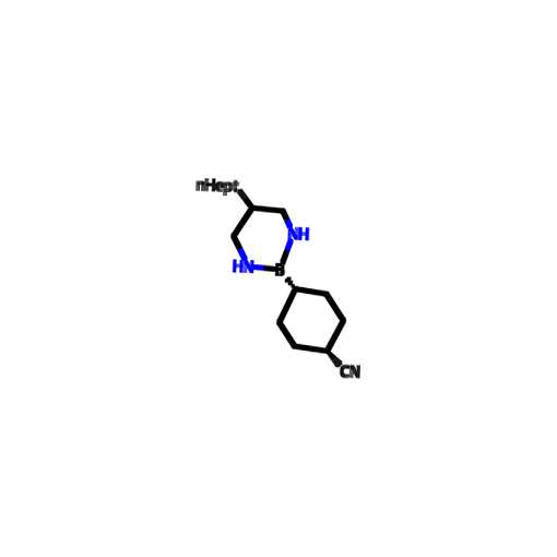 CCCCCCCC1CNB([C@H]2CC[C@H](C#N)CC2)NC1